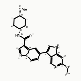 CCOc1ncc2c(-c3ccn4ncc(C(=O)N[C@H]5CC[C@H](OC)CC5)c4c3)c[nH]c2n1